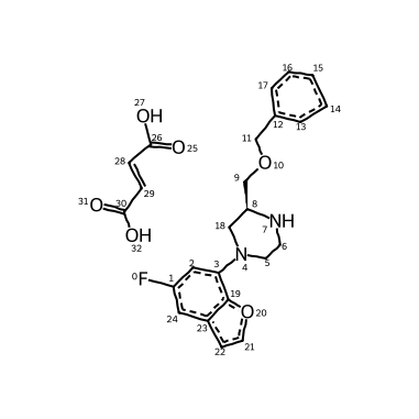 Fc1cc(N2CCN[C@H](COCc3ccccc3)C2)c2occc2c1.O=C(O)C=CC(=O)O